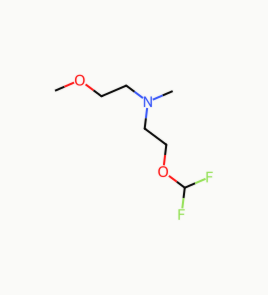 COCCN(C)CCOC(F)F